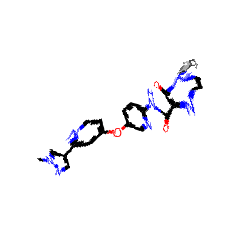 CC(C)n1ccnc(C(=O)Nc2ccc(Oc3ccnc(-c4cnn(C)c4)c3)cn2)c1=O